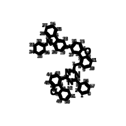 c1ccc(-c2nc(Cc3cccc4oc5ccc(-c6ccc7c(c6)c6ccccc6n7-c6ccccc6)cc5c34)nc(-c3cccc4oc5ccccc5c34)n2)cc1